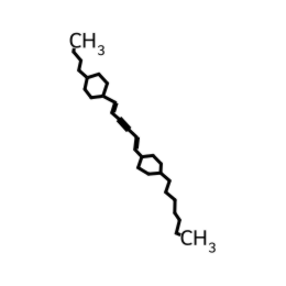 CCCCCCCC1CCC(C=CC#CC=CC2CCC(CCCC)CC2)CC1